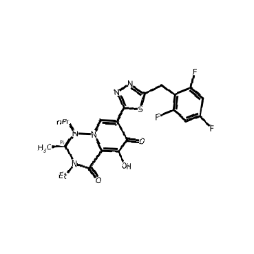 CCCN1[C@H](C)N(CC)C(=O)c2c(O)c(=O)c(-c3nnc(Cc4c(F)cc(F)cc4F)s3)cn21